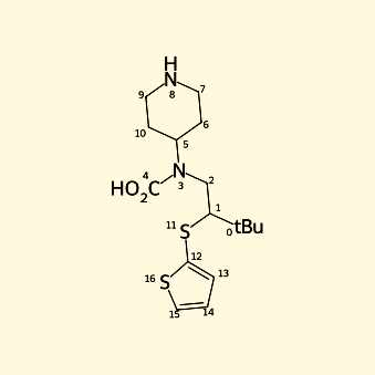 CC(C)(C)C(CN(C(=O)O)C1CCNCC1)Sc1cccs1